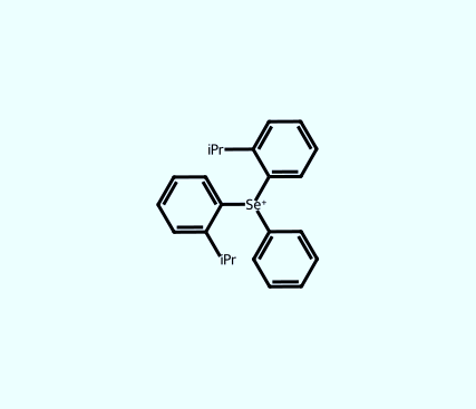 CC(C)c1ccccc1[Se+](c1ccccc1)c1ccccc1C(C)C